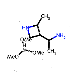 CC(N)C1CNC1C.CO[SiH](OC)OC